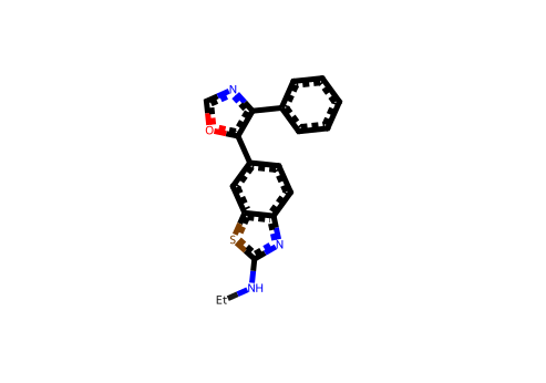 CCNc1nc2ccc(-c3ocnc3-c3ccccc3)cc2s1